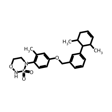 Cc1cc(OCc2cccc(C3C(C)C=CCC3C)c2)ccc1N1CCONS1(=O)=O